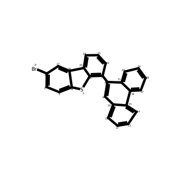 Brc1ccc2sc3c(-c4cc5ccccc5c5ccccc45)cccc3c2c1